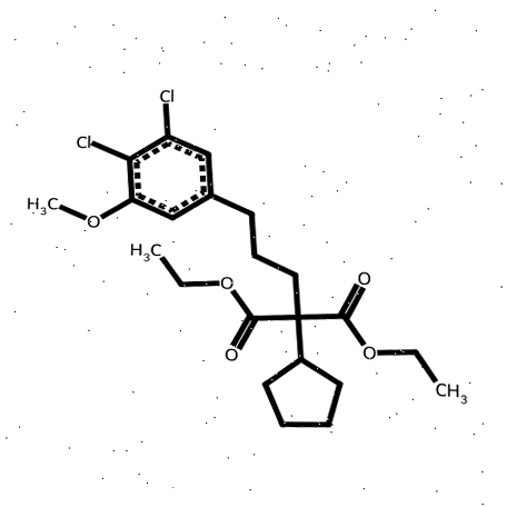 CCOC(=O)C(CCCc1cc(Cl)c(Cl)c(OC)c1)(C(=O)OCC)C1CCCC1